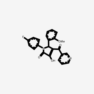 COc1ccccc1C1C(C(=O)c2cccnc2)=C(O)C(=O)N1c1ccc(F)cc1